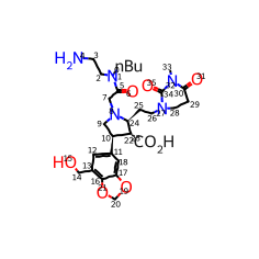 CCCCN(CCN)C(=O)CN1C[C@H](c2cc(CO)c3c(c2)OCO3)[C@@H](C(=O)O)[C@@H]1CCN1CCC(=O)N(C)C1=O